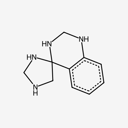 c1ccc2c(c1)NCNC21CNCN1